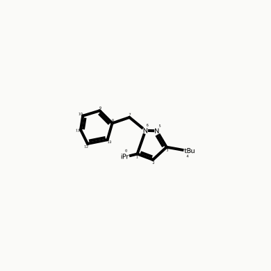 CC(C)c1cc(C(C)(C)C)nn1Cc1ccccc1